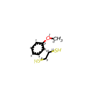 COc1ccccc1.SCCS